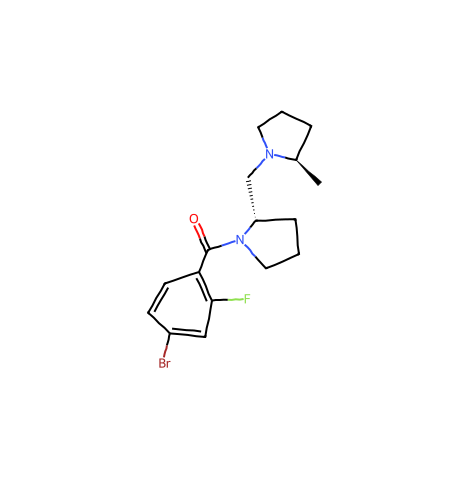 C[C@@H]1CCCN1C[C@@H]1CCCN1C(=O)c1ccc(Br)cc1F